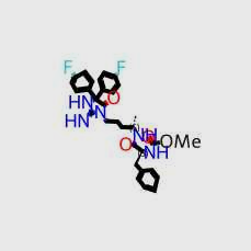 COC(=O)N[C@@H](Cc1ccccc1)C(=O)N[C@@H](C)CCCN1C(=N)NC(c2ccc(F)cc2)(c2ccc(F)cc2)C1=O